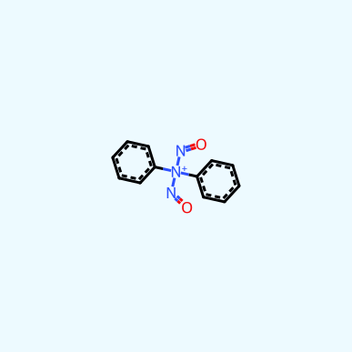 O=N[N+](N=O)(c1ccccc1)c1ccccc1